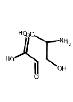 NC(CO)C(=O)O.O=CC(=O)O